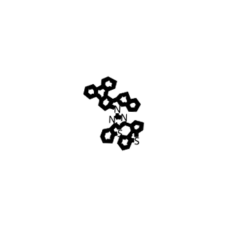 c1ccc2c(c1)ccc1c3c4c5ccccc5c5ccccc5c4ccc3n(-c3nc(-c4cccc5sc6ccccc6c45)c4sc5ccccc5c4n3)c21